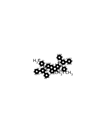 Cc1ccc(N(c2ccc3c(c2)C(C)(C)c2cccc4c2c-3cc2ccc(N(c3ccc(C)cc3)c3cc(-c5ccccc5)cc(-c5ccccc5)c3F)cc24)c2cc(-c3ccccc3)cc(-c3ccccc3)c2F)cc1